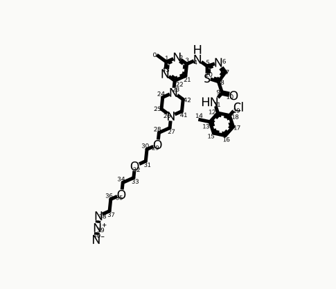 Cc1nc(Nc2ncc(C(=O)Nc3c(C)cccc3Cl)s2)cc(N2CCN(CCOCCOCCOCCN=[N+]=[N-])CC2)n1